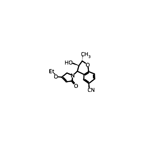 CCOC1=CC(=O)N(C2c3cc(C#N)ccc3O[C@@H](C)[C@@H]2O)C1